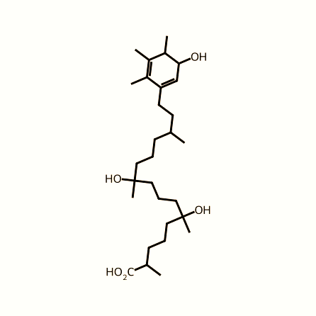 CC1=C(C)C(C)C(O)C=C1CCC(C)CCCC(C)(O)CCCC(C)(O)CCCC(C)C(=O)O